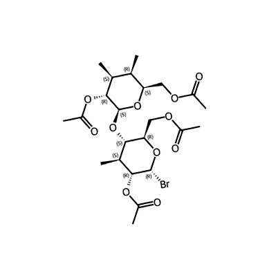 CC(=O)OC[C@H]1O[C@@H](O[C@H]2[C@H](C)[C@@H](OC(C)=O)[C@@H](Br)O[C@@H]2COC(C)=O)[C@H](OC(C)=O)[C@@H](C)[C@H]1C